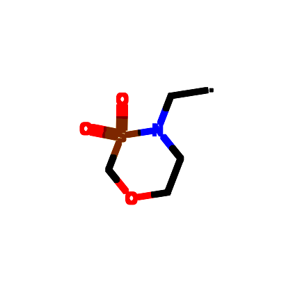 [CH2]CN1CCOCS1(=O)=O